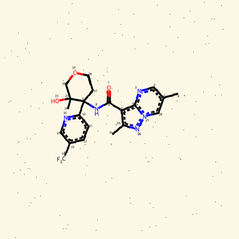 Cc1cnc2c(C(=O)NC3(c4ccc(C(F)(F)F)cn4)CCOCC3(C)O)c(C)nn2c1